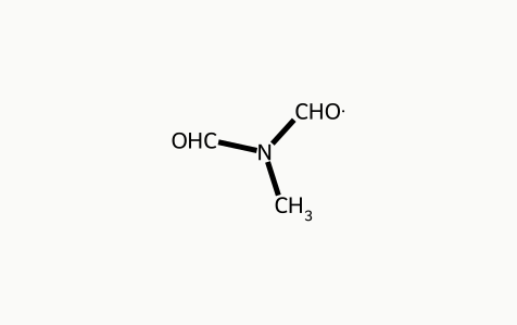 CN([C]=O)C=O